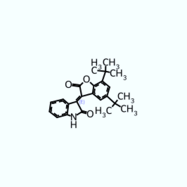 CC(C)(C)c1cc2c(c(C(C)(C)C)c1)OC(=O)/C2=C1/C(=O)Nc2ccccc21